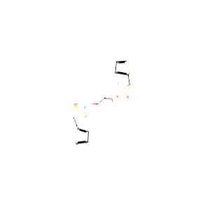 O=S(=O)(Cc1cccs1)OCCOS(=O)(=O)Cc1cccs1